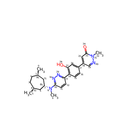 C[C@@H]1CC[C@H](C)C[C@@H](N(C)c2ccc(-c3ccc(-c4cnn(C)c(=O)c4)cc3O)nn2)C1